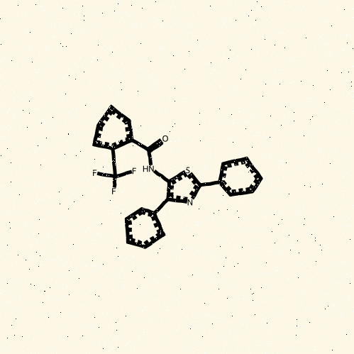 O=C(Nc1sc(-c2ccccc2)nc1-c1ccccc1)c1ccccc1C(F)(F)F